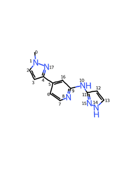 Cn1ccc(-c2ccnc(Nc3cc[nH]n3)c2)n1